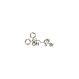 CC(C)(CCc1cnc(Br)s1)[Si](O)(c1ccccc1)c1ccccc1